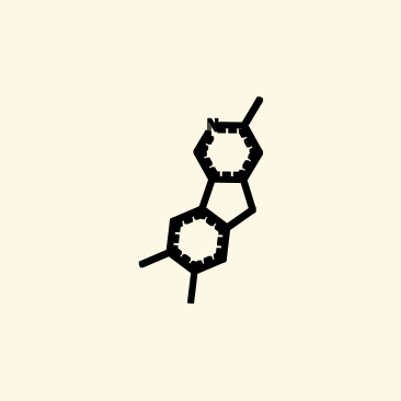 Cc1cc2c(cn1)-c1cc(C)c(C)cc1C2